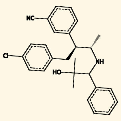 C[C@H](NC(c1ccccc1)C(C)(C)O)[C@@H](Cc1ccc(Cl)cc1)c1cccc(C#N)c1